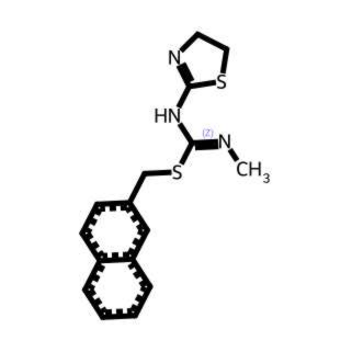 C/N=C(/NC1=NCCS1)SCc1ccc2ccccc2c1